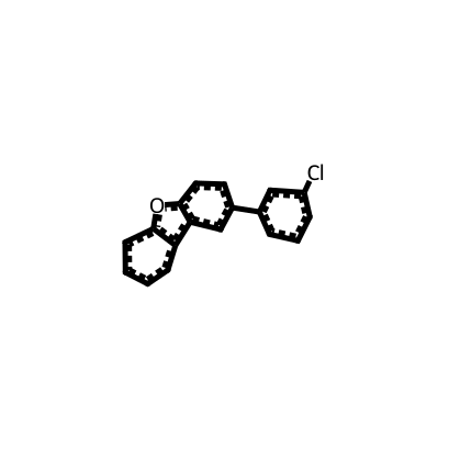 Clc1cccc(-c2ccc3oc4ccccc4c3c2)c1